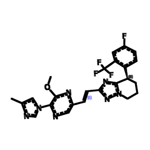 COc1nc(/C=C/c2nc3n(n2)CCC[C@@H]3c2ccc(F)cc2C(F)(F)F)cnc1-n1cnc(C)c1